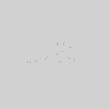 CC1(C)CCC(C)(C)c2cc(/C=C/C=C/C(=O)Cl)ccc21